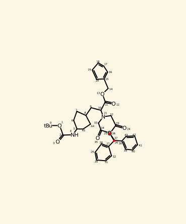 CC(C)(C)OC(=O)NC1CCC(CC(C(=O)OCc2ccccc2)N(CC(=O)OCc2ccccc2)CC(=O)OCc2ccccc2)CC1